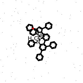 CS1(Nc2ccccc2)c2c(cccc2C2C=C(c3ccccc3)C=C2c2ccccc2)-c2c(-c3ccccc3)cc(-c3ccccc3)cc2N1c1ccccc1